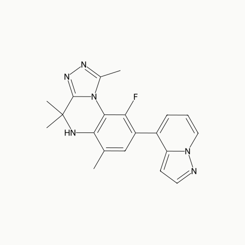 Cc1cc(-c2cccn3nccc23)c(F)c2c1NC(C)(C)c1nnc(C)n1-2